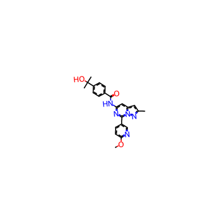 COc1ccc(-c2nc(NC(=O)c3ccc(C(C)(C)O)cc3)cc3cc(C)nn23)cn1